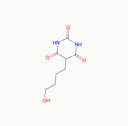 O=C1NC(=O)C(CCCCO)C(=O)N1